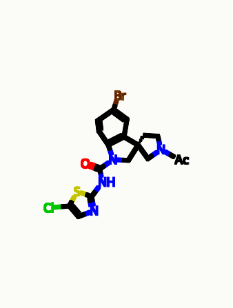 CC(=O)N1CC[C@]2(C1)CN(C(=O)Nc1ncc(Cl)s1)c1ccc(Br)cc12